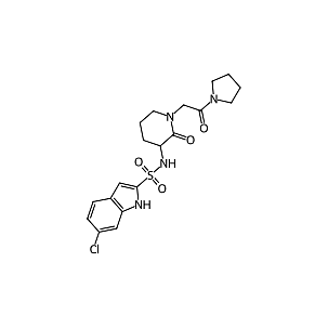 O=C(CN1CCCC(NS(=O)(=O)c2cc3ccc(Cl)cc3[nH]2)C1=O)N1CCCC1